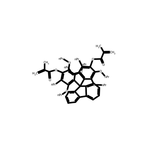 C=C(C)C(=O)Oc1c(CCC)c(OCCC)c(C2(c3c(OCCC)c(CCC)c(OC(=O)C(=C)C)c(OCCC)c3OCCC)c3ccccc3-c3ccccc32)c(OCCC)c1OCCC